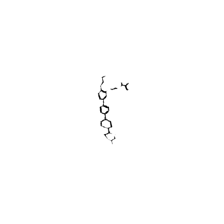 C=C(C)C(=O)OCCOc1cc(-c2ccc(C3CCC(C4CCC(C)CO4)CC3)cc2)ccc1CCCO